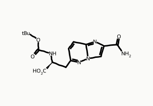 CC(C)(C)OC(=O)N[C@@H](Cc1ccc2nc(C(N)=O)cn2n1)C(=O)O